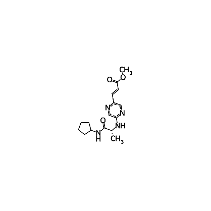 COC(=O)/C=C/c1cnc(N[C@H](C)C(=O)NC2CCCC2)cn1